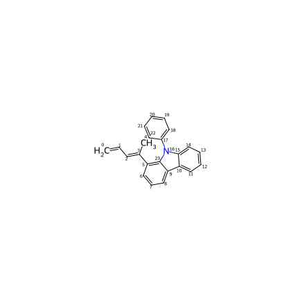 C=C/C=C(\C)c1cccc2c3ccccc3n(-c3ccccc3)c12